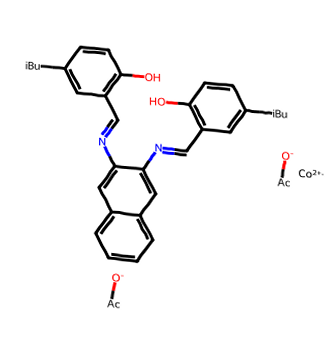 CC(=O)[O-].CC(=O)[O-].CCC(C)c1ccc(O)c(C=Nc2cc3ccccc3cc2N=Cc2cc(C(C)CC)ccc2O)c1.[Co+2]